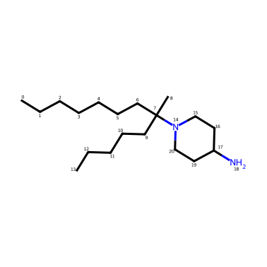 CCCCCCCC(C)(CCCCC)N1CCC(N)CC1